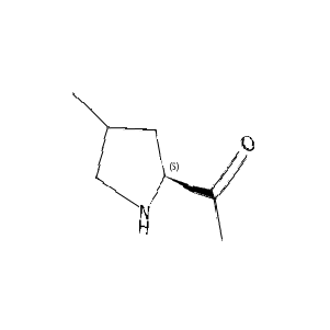 CC(=O)[C@@H]1CC(C)CN1